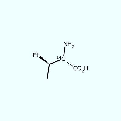 CC[C@H](C)[14C@H](N)C(=O)O